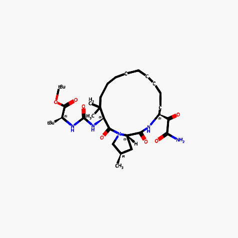 C[C@@H]1C[C@H]2C(=O)N[C@H](C(=O)C(N)=O)CCCCCCCCCC(C)(C)[C@H](NC(=O)N[C@H](C(=O)OC(C)(C)C)C(C)(C)C)C(=O)N2C1